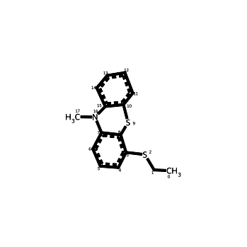 CCSc1cccc2c1Sc1ccccc1N2C